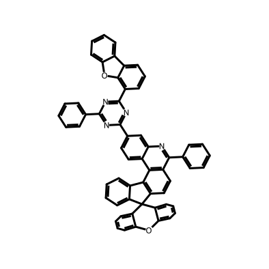 c1ccc(-c2nc(-c3ccc4c(c3)nc(-c3ccccc3)c3ccc5c(c34)-c3ccccc3C53c4ccccc4Oc4ccccc43)nc(-c3cccc4c3oc3ccccc34)n2)cc1